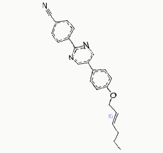 CCC/C=C/COc1ccc(-c2cnc(-c3ccc(C#N)cc3)nc2)cc1